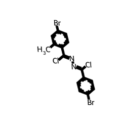 Cc1cc(Br)ccc1C(Cl)=NN=C(Cl)c1ccc(Br)cc1